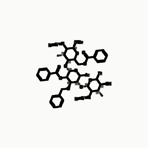 CCC1O[C@@H](O[C@H]2C(C(C)=O)O[C@@H](O[C@@H]3C(COC(=O)c4ccccc4)O[C@H](OC)C(N=[N+]=[N-])[C@H]3C)C(OC(=O)c3ccccc3)[C@@H]2OCc2ccccc2)C(N=[N+]=[N-])[C@@H](C)[C@@H]1O